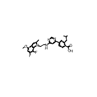 COc1cc(F)c(F)c2c1cc(C)n2CCNc1cc(-c2ccc(C(=O)O)c(CC(C)C)c2)ncn1